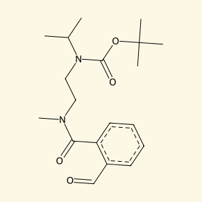 CC(C)N(CCN(C)C(=O)c1ccccc1C=O)C(=O)OC(C)(C)C